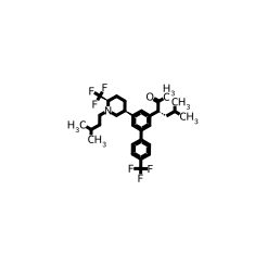 CC(=O)[C@H](CC(C)C)c1cc(-c2ccc(C(F)(F)F)cc2)cc([C@@H]2CC[C@H](C(F)(F)F)N(CCC(C)C)C2)c1